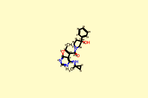 Cc1oc2ncnc(NC3(C)CC3)c2c1C(=O)N1CCC(O)(c2ccccc2)C1